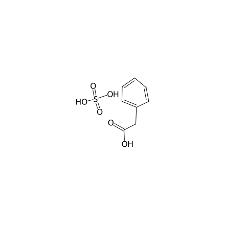 O=C(O)Cc1ccccc1.O=S(=O)(O)O